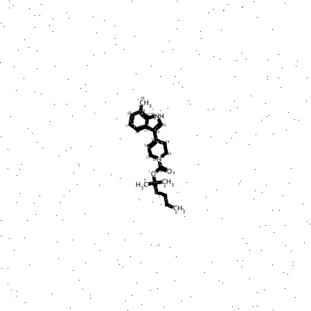 CCCCC(C)(C)OC(=O)N1CC=C(c2c[nH]c3c(C)cccc23)CC1